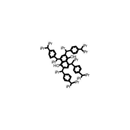 CC(C)C(c1ccc(C(C(C)C)C(C)C)cc1)c1cc(C(c2ccc(C(C(C)C)C(C)C)cc2)C(C)C)c2c(O)c(C(c3ccc(C(C(C)C)C(C)C)cc3)C(C)C)cc(C(c3ccc(C(C(C)C)C(C)C)cc3)C(C)C)c2c1O